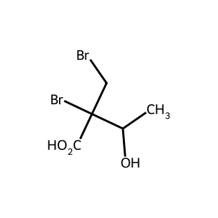 CC(O)C(Br)(CBr)C(=O)O